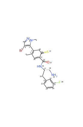 CC1=C(c2c(Br)cnn2C)CC(=S)C(C(=O)N[C@H](CN)Cc2cccc(F)c2)=C1